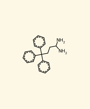 NC(N)CCC(c1ccccc1)(c1ccccc1)c1ccccc1